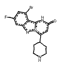 O=c1cc(C2CCNCC2)n2nc3cc(F)cc(Br)c3c2[nH]1